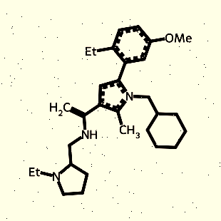 C=C(NCC1CCCN1CC)c1cc(-c2cc(OC)ccc2CC)n(CC2CCCCC2)c1C